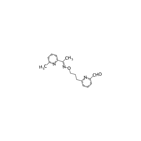 C/C(=N\OCCCc1cccc(C=O)n1)c1cccc(C)n1